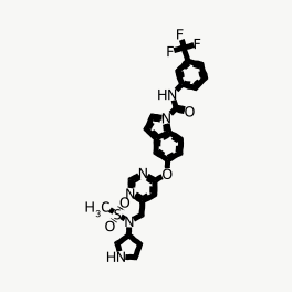 CS(=O)(=O)N(Cc1cc(Oc2ccc3c(ccn3C(=O)Nc3cccc(C(F)(F)F)c3)c2)ncn1)C1CCNC1